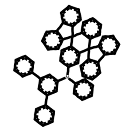 c1ccc(-c2cc(-c3ccccc3)cc(N(c3ccccc3)c3ccc4c(c3)C3(c5ccccc5-c5ccccc53)c3ccccc3C43c4ccccc4-c4ccccc43)c2)cc1